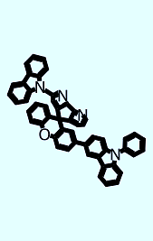 c1ccc(-n2c3ccccc3c3cc(-c4ccc5c(c4)C4(c6ccccc6O5)c5cccnc5-c5ncc(-n6c7ccccc7c7ccccc76)cc54)ccc32)cc1